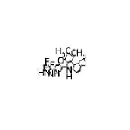 CC1(C)CC(=O)C2=C(C1)c1c(ccc3ccccc13)NC2c1ccc(C2(C(F)(F)F)NN2)cc1